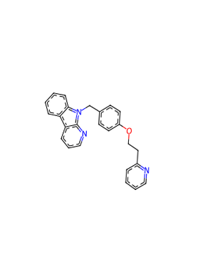 c1ccc(CCOc2ccc(Cn3c4ccccc4c4cccnc43)cc2)nc1